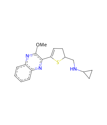 COc1nc2ccccc2nc1C1=CCC(CNC2CC2)S1